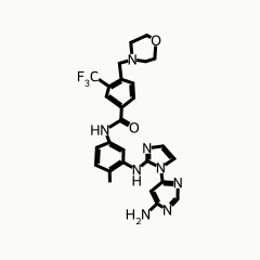 Cc1ccc(NC(=O)c2ccc(CN3CCOCC3)c(C(F)(F)F)c2)cc1Nc1nccn1-c1cc(N)ncn1